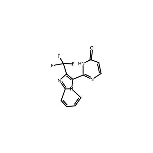 O=c1ccnc(-c2c(C(F)(F)F)nc3ccccn23)[nH]1